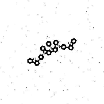 c1ccc(-n2c3c(ccc4c3c3ccccc3n4-c3ccc(-c4cccc5c4oc4ccccc45)cc3)c3ccc4c(c5ccccc5n4-c4ccc(-c5cccc6c5oc5ccccc56)cc4)c32)cc1